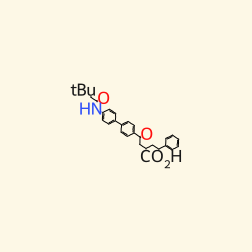 CC(C)(C)CC(=O)Nc1ccc(-c2ccc(C(=O)CC(CCc3ccccc3)C(=O)O)cc2)cc1